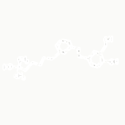 CC(C)(O)CCCCCc1cccc(C=Cc2ccc(O)c(CO)c2)c1